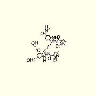 CCn1nc(C)cc1C(=O)/N=c1\[nH]c2cc(C(N)=O)ccc2n1C/C=C/Cn1/c(=N/C(=O)c2cc(C)nn2CC)[nH]c2cc(C=O)cc(OCCCO)c21